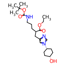 CCOC(=O)C(CCCNC(=O)OC(C)(C)C)Cc1cn([C@H]2CC[C@@H](O)CC2)cn1